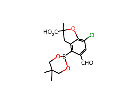 CC1(C)COB(c2c(C=O)cc(Cl)c3c2CC(C)(C(=O)O)O3)OC1